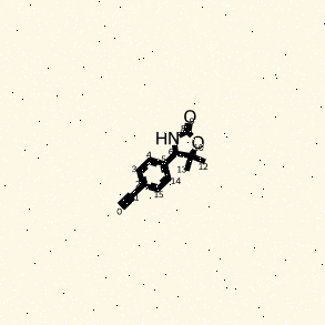 C#Cc1ccc(C2NC(=O)OC2(C)C)cc1